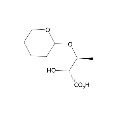 C[C@H](OC1CCCCO1)[C@@H](O)C(=O)O